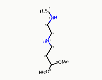 COC(CCNCCN[SiH3])OC